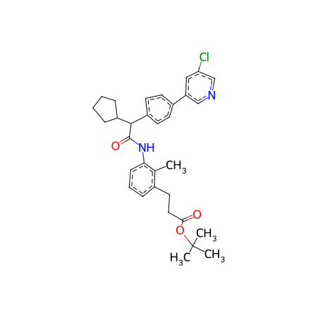 Cc1c(CCC(=O)OC(C)(C)C)cccc1NC(=O)C(c1ccc(-c2cncc(Cl)c2)cc1)C1CCCC1